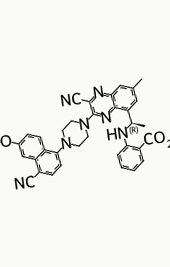 Cc1cc([C@@H](C)Nc2ccccc2C(=O)O)c2nc(N3CCN(c4ccc(C#N)c5cc(O)ccc45)CC3)c(C#N)nc2c1